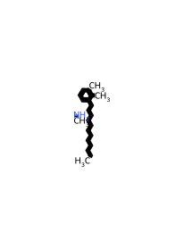 CCCCCCCCCCCCc1cccc(C)c1C.CN